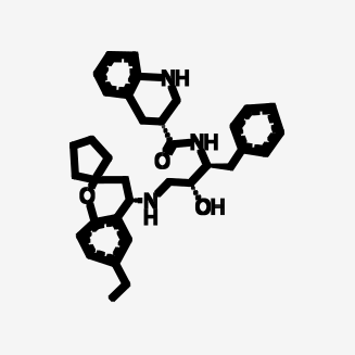 CCc1ccc2c(c1)[C@@H](NC[C@@H](O)[C@H](Cc1ccccc1)NC(=O)[C@H]1CNc3ccccc3C1)CC1(CCCC1)O2